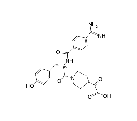 N=C(N)c1ccc(C(=O)N[C@@H](Cc2ccc(O)cc2)C(=O)N2CCC(C(=O)C(=O)O)CC2)cc1